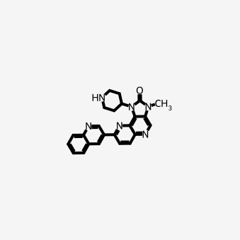 Cn1c(=O)n(C2CCNCC2)c2c3nc(-c4cnc5ccccc5c4)ccc3ncc21